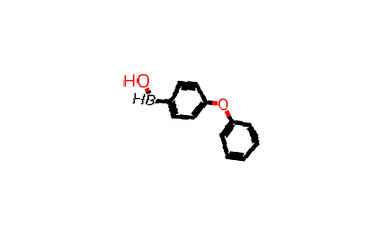 OBc1ccc(Oc2ccccc2)cc1